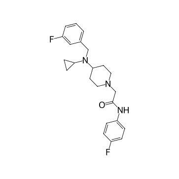 O=C(CN1CCC(N(Cc2cccc(F)c2)C2CC2)CC1)Nc1ccc(F)cc1